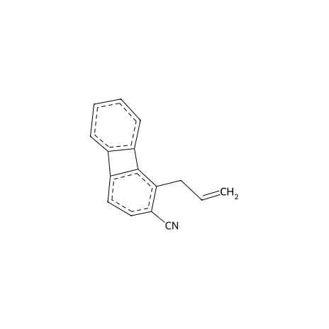 C=CCc1c(C#N)ccc2c1-c1ccccc1-2